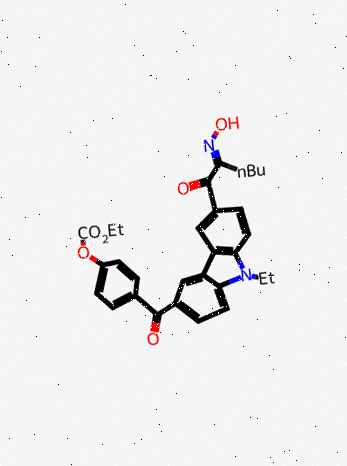 CCCC/C(=N\O)C(=O)c1ccc2c(c1)c1cc(C(=O)c3ccc(OC(=O)OCC)cc3)ccc1n2CC